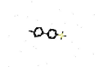 Cc1ccc(-c2ccc(S(C)(C)C)cc2)cc1